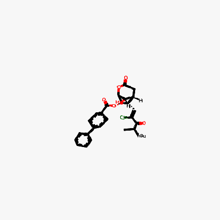 CCCCC(C)C(=O)C(Cl)=C[C@H]1[C@H]2CC(=O)OC([C@H]2O)[C@H]1OC(=O)c1ccc(-c2ccccc2)cc1